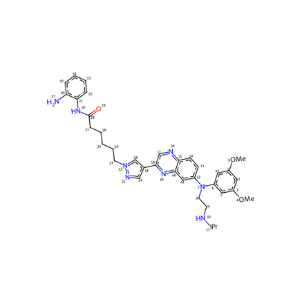 COc1cc(OC)cc(N(CCNC(C)C)c2ccc3ncc(-c4cnn(CCCCCC(=O)Nc5ccccc5N)c4)nc3c2)c1